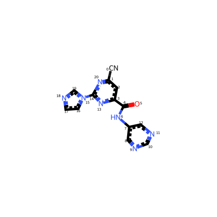 N#Cc1cc(C(=O)Nc2cncnc2)nc(-n2ccnc2)n1